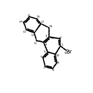 Brc1cc2c(c3ccccc13)Cc1ccccc1C2